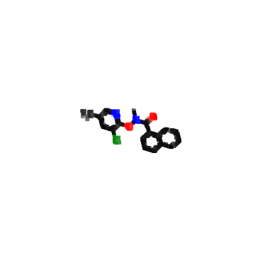 CN(Oc1ncc(C(F)(F)F)cc1Cl)C(=O)c1cccc2ccccc12